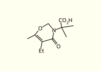 CCC1=C(C)OCN(C(C)(C)C(=O)O)C1=O